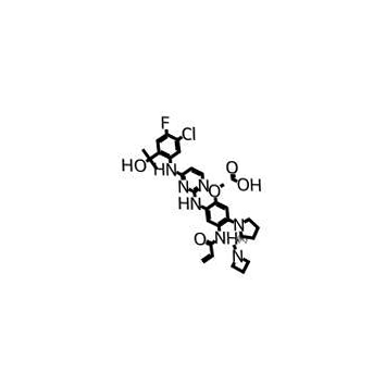 C=CC(=O)Nc1cc(Nc2nccc(Nc3cc(Cl)c(F)cc3C(C)(C)O)n2)c(OC)cc1N1CCC[C@@H]1CN1CCC1.O=CO